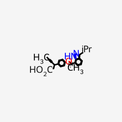 CC#CC(CC(=O)O)c1ccc(O[C@@H](C)c2cccc3c(CC(C)C)n[nH]c23)cc1